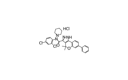 CC1(C)Oc2cc(-c3ccccc3)ccc2-c2[nH]nc(C(=O)N(c3ccc(Cl)cc3Cl)N3CCCCC3)c21.Cl